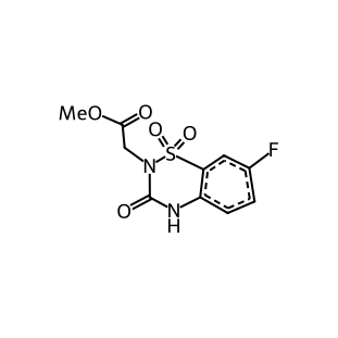 COC(=O)CN1C(=O)Nc2ccc(F)cc2S1(=O)=O